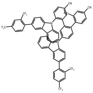 N#Cc1ccc(-n2c3ccccc3c3cc(-c4ccc(C(F)(F)F)cc4C(F)(F)F)ccc32)c(-c2cc(-n3c4ccccc4c4cc(-c5ccc(C(F)(F)F)cc5C(F)(F)F)ccc43)ccc2-c2ccc(C#N)cc2C(F)(F)F)c1